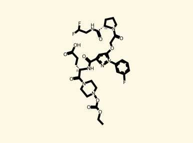 CCOC(=O)ON1CCN(C(=O)[C@H](CCC(=O)O)NC(=O)c2cc(OCC(=O)N3CCC[C@H]3C(=O)NCC(F)F)n(-c3cccc(F)c3)n2)CC1